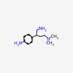 CN(C)CCC(CN)c1ccc(N)cc1